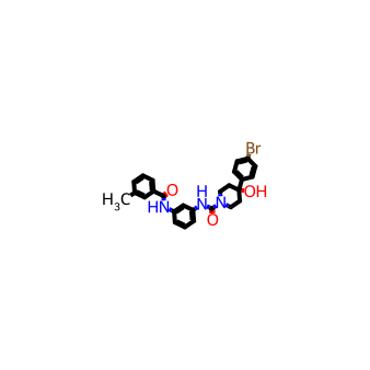 Cc1cccc(C(=O)Nc2cccc(NC(=O)N3CCC(O)(c4ccc(Br)cc4)CC3)c2)c1